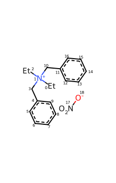 CC[N+](CC)(Cc1ccccc1)Cc1ccccc1.O=[N+]([O-])[O-]